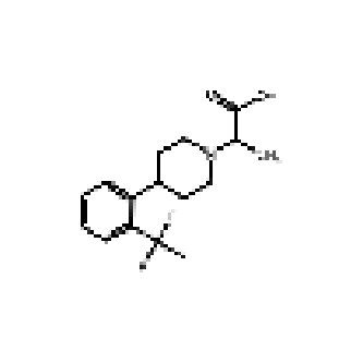 CC(C(=O)O)N1CCC(c2ccccc2C(F)(F)F)CC1